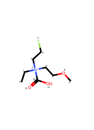 CC[N+](CCF)(CCOC)C(=O)O